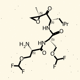 CC(C)C[C@H](NC(=O)[C@H](COC(F)F)NC(=O)[C@@H](N)COC(F)F)C(=O)[C@]1(C)CO1